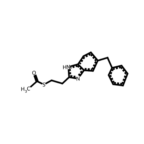 CC(=O)SCCc1nc2cc(Cc3ccccc3)ccc2[nH]1